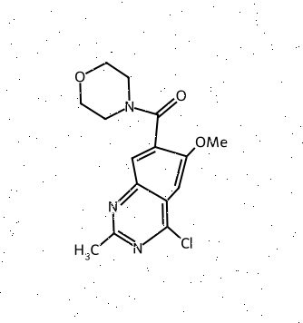 COc1cc2c(Cl)nc(C)nc2cc1C(=O)N1CCOCC1